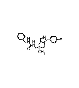 C[C@@]1(CNC(=O)NCc2ccccc2)C=Cc2c(cnn2-c2ccc(F)cc2)C1